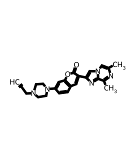 C#CCN1CCN(c2ccc3cc(-c4cn5cc(C)nc(C)c5n4)c(=O)oc3c2)CC1